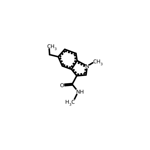 CCc1ccc2c(c1)c(C(=O)NC)cn2C